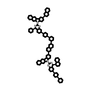 c1ccc(-c2ccc(-c3ccc4nc(-n5c6ccc(-c7ccc8cc(-c9cccc(-c%10ccc(-c%11ccc%12c(-c%13ccccc%13)nc(-n%13c%14ccc(-c%15ccc%16ccccc%16c%15)cc%14c%14cc%15ccccc%15cc%14%13)nc%12c%11)cc%10)c9)ccc8c7)cc6c6cc7ccccc7cc65)nc(-c5cccc6ccccc56)c4c3)cc2)cc1